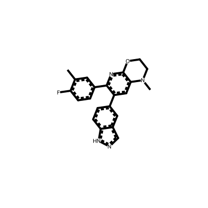 Cc1cc(-c2nc3c(cc2-c2ccc4[nH]ncc4c2)N(C)CCO3)ccc1F